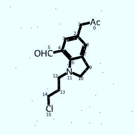 CC(=O)Cc1cc(C=O)c2c(c1)CCN2CCCCl